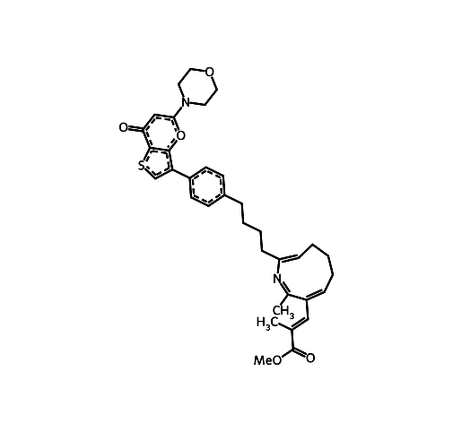 COC(=O)/C(C)=C/C1=C/CCC/C=C(CCCCc2ccc(-c3csc4c(=O)cc(N5CCOCC5)oc34)cc2)/N=C\1C